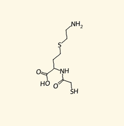 NCCSCCC(NC(=O)CS)C(=O)O